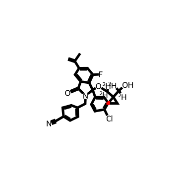 [2H]C([2H])(O)C1(C([2H])([2H])OC2(c3ccc(Cl)cc3)c3c(F)cc(C(=C)C)cc3C(=O)N2Cc2ccc(C#N)cc2)CC1